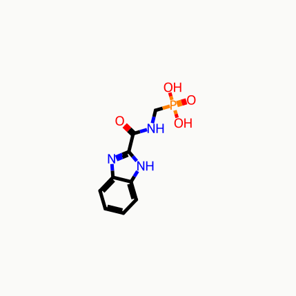 O=C(NCP(=O)(O)O)c1nc2ccccc2[nH]1